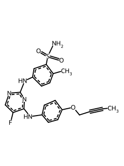 CC#CCOc1ccc(Nc2nc(Nc3ccc(C)c(S(N)(=O)=O)c3)ncc2F)cc1